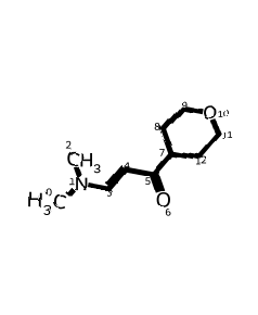 CN(C)C=CC(=O)C1CCOCC1